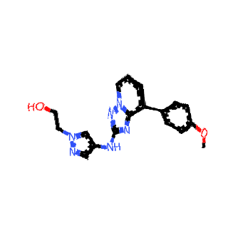 COc1ccc(-c2cccn3nc(Nc4cnn(CCO)c4)nc23)cc1